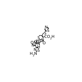 CO/N=C(\C(=O)NC1C(=O)N2C(C(=O)O)=C(CSc3cncs3)CS[C@H]12)c1csc(N)n1